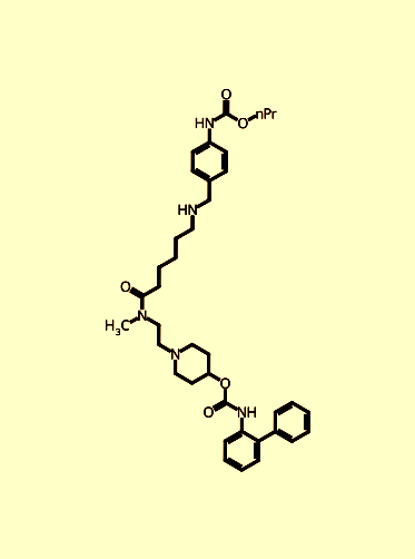 CCCOC(=O)Nc1ccc(CNCCCCCC(=O)N(C)CCN2CCC(OC(=O)Nc3ccccc3-c3ccccc3)CC2)cc1